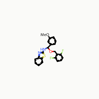 COc1cccc(C(Nc2nc3ccccc3s2)OCc2c(F)cccc2F)c1